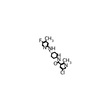 Cc1cc(NC[C@H]2CC[C@H](NC(=O)c3cc(Cl)cnc3C)CC2)ncc1F